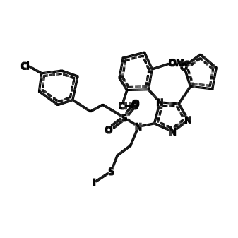 COc1cccc(C=O)c1-n1c(-c2ccco2)nnc1N(CCSI)S(=O)(=O)CCc1ccc(Cl)cc1